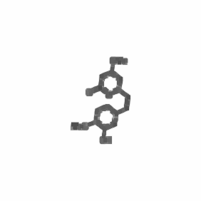 COc1cc(/C=C\c2ccc(OC)c(O)c2)oc(=O)c1